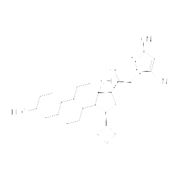 CC1CCC2C(CCC3C2CCC2(C)C(C(=O)Cn4nc(C#N)cc4C#N)CC(C4CCC4)C32)C1